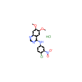 COc1cc2ncnc(Nc3ccc(Cl)c([N+](=O)[O-])c3)c2cc1OC.Cl